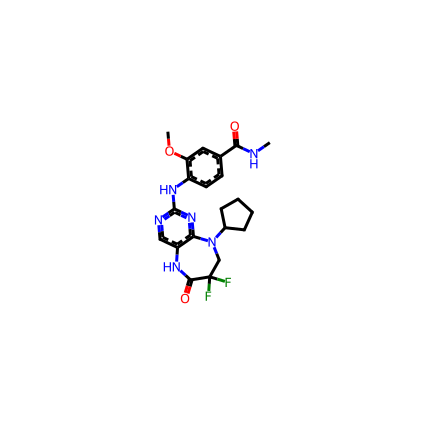 CNC(=O)c1ccc(Nc2ncc3c(n2)N(C2CCCC2)CC(F)(F)C(=O)N3)c(OC)c1